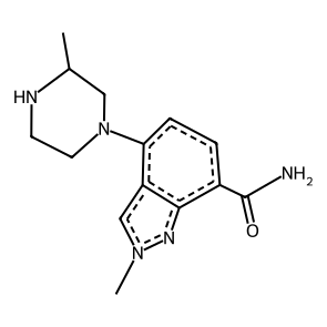 CC1CN(c2ccc(C(N)=O)c3nn(C)cc23)CCN1